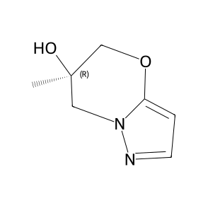 C[C@]1(O)COc2ccnn2C1